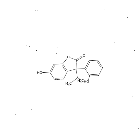 CC(C)C1(c2ccccc2O)C(=O)Oc2cc(O)ccc21